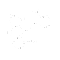 CC(CC(c1ccccc1C(C)(C)C)c1ccccc1C(C)(C)C)c1ccccc1C(C)(C)C